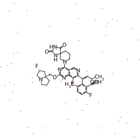 C#Cc1c(F)ccc(C)c1/C(=C\C(C)O)c1ncc2c(N3CCCC4(C3)NC(=O)NC4=O)nc(OC[C@@]34CCCN3C[C@H](F)C4)nc2c1F